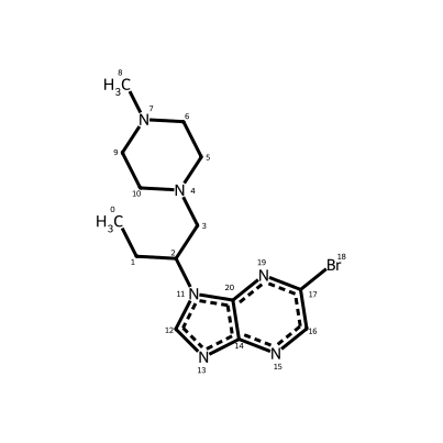 CCC(CN1CCN(C)CC1)n1cnc2ncc(Br)nc21